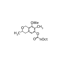 CCCCCCCCC(=O)Oc1cc2c(c(OC)c1C)COC(C)C2